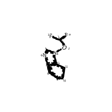 FC(F)On1cnc2ccccc21